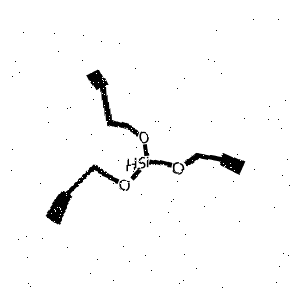 C#CCO[SiH](OCC#C)OCC#C